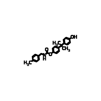 Cc1ccc(CNC(=O)Oc2ccc(C(C)(C)c3ccc(O)cc3)cc2)cc1